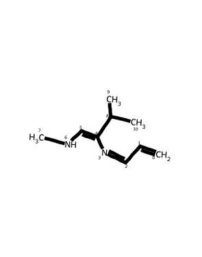 C=C/C=N\C(=C/NC)C(C)C